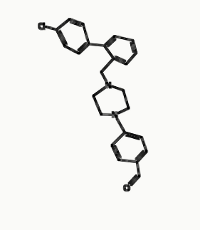 O=Cc1ccc(N2CCN(Cc3ccccc3-c3ccc(Cl)cc3)CC2)cc1